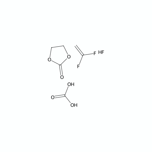 C=C(F)F.F.O=C(O)O.O=C1OCCO1